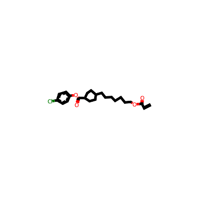 C=CC(=O)OCCCCCCCC1CCC(C(=O)Oc2ccc(Cl)cc2)CC1